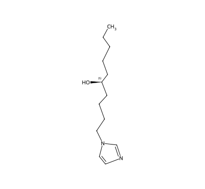 CCCCC[C@H](O)CCCCn1ccnc1